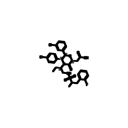 CC[C@@H](CNS(=O)(=O)C(C)Cc1ccccc1F)N1C(=O)[C@@H](CC(=O)O)O[C@H](c2cccc(Cl)c2)[C@H]1c1ccc(Cl)cc1